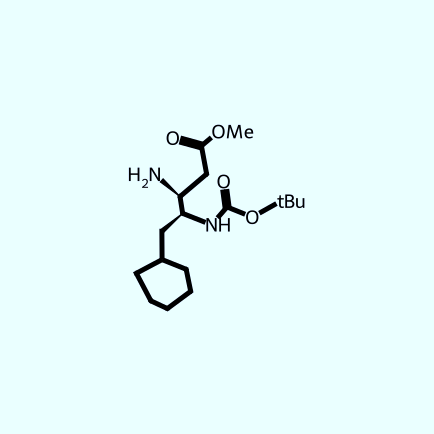 COC(=O)C[C@H](N)[C@H](CC1CCCCC1)NC(=O)OC(C)(C)C